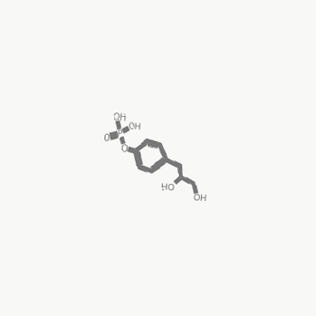 O=P(O)(O)Oc1ccc(CC(O)CO)cc1